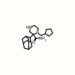 NC(=O)C1(C2C3CC4CC(C3)CC2C4)CNCCN1CC1CCCC1